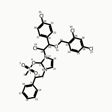 CS(=O)(=O)OC1N(CCc2ccccc2)C=CN1C(Cl)C(OCc1ccc(Cl)cc1Cl)c1ccc(Cl)cc1